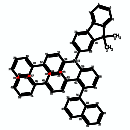 CC1(C)c2ccccc2-c2ccc(N(c3ccc(-c4ccccc4)cc3)c3cccc(-c4cccc5ccccc45)c3-c3ccc(-c4ccccc4)cc3)cc21